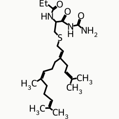 CCC(=O)NC(CSCC=C(CC=C(C)C)CCC=C(C)CCC=C(C)C)C(=O)NC(N)=O